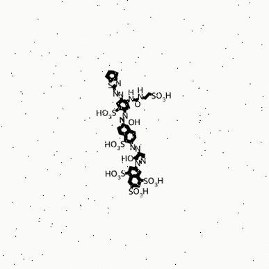 O=C(NCCS(=O)(=O)O)Nc1cc(N=Nc2ccc3c(S(=O)(=O)O)c(N=Nc4cnn(-c5cc(S(=O)(=O)O)c6cc(S(=O)(=O)O)cc(S(=O)(=O)O)c6c5)c4O)ccc3c2O)c(S(=O)(=O)O)cc1N=Nc1nc2ccccc2s1